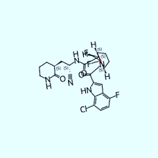 N#C[C@H](C[C@@H]1CCCNC1=O)NC(=O)[C@@H]1[C@@H]2CC[C@@H](CC2(F)F)N1C(=O)c1cc2c(F)ccc(Cl)c2[nH]1